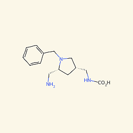 NC[C@H]1C[C@@H](CNC(=O)O)CN1Cc1ccccc1